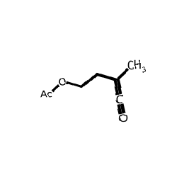 CC(=O)OCCC(C)=C=O